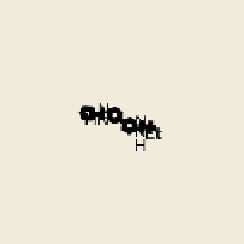 CCC(C)(C)c1nc2cc(-c3ccc4nc(-c5ccccc5)[nH]c4c3)ccc2[nH]1